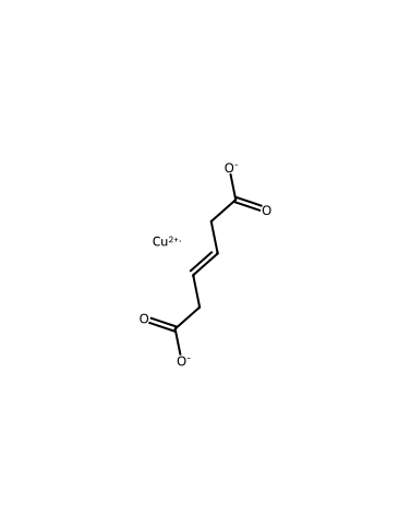 O=C([O-])CC=CCC(=O)[O-].[Cu+2]